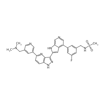 CN(C)Cc1cncc(-c2ccc3[nH]nc(-c4cc5c(-c6cc(F)cc(CNS(C)(=O)=O)c6)cncc5[nH]4)c3n2)c1